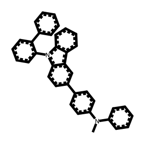 CN(c1ccccc1)c1ccc(-c2ccc3c(c2)c2ccccc2n3-c2ccccc2-c2ccccc2)cc1